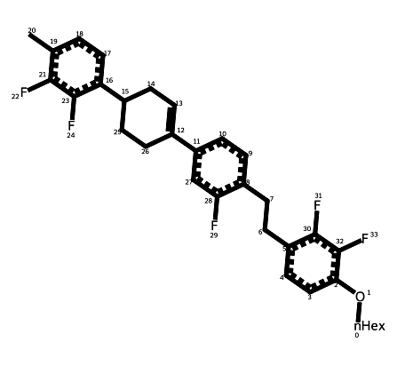 CCCCCCOc1ccc(CCc2ccc(C3=CCC(c4ccc(C)c(F)c4F)CC3)cc2F)c(F)c1F